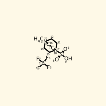 C.F[B-](F)(F)F.O=S(=O)(O)[N+]12CCN(CC1)CC2